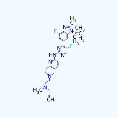 C#CCN(C)CCN1CCc2nc(Nc3ncc(F)c(-c4cc(F)c5nc(C)n(C(C)(C)C)c5c4)n3)ccc2C1